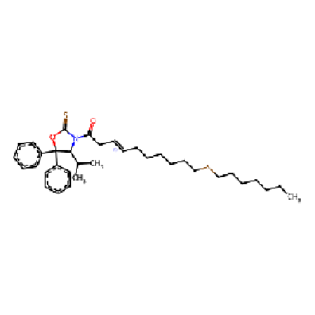 CCCCCCCSCCCCCC/C=C/CC(=O)N1C(=S)OC(c2ccccc2)(c2ccccc2)C1C(C)C